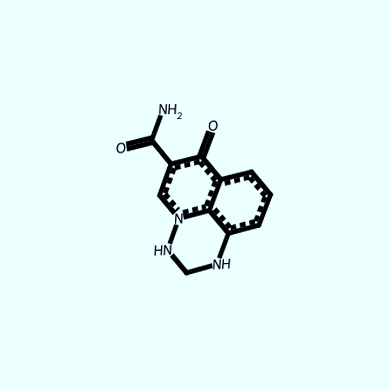 NC(=O)c1cn2c3c(cccc3c1=O)NCN2